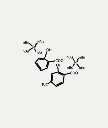 CCCC[N+](CCCC)(CCCC)CCCC.CCCC[N+](CCCC)(CCCC)CCCC.O=C([O-])c1ccc(C(F)(F)F)cc1O.O=C([O-])c1ccccc1O